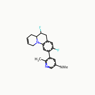 CNc1cnc(C)c(-c2cc3c(cc2F)CC(F)C2CC=CCN32)c1